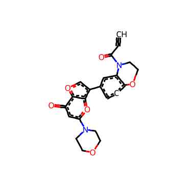 C#CC(=O)N1CCOc2ccc(-c3coc4c(=O)cc(N5CCOCC5)oc34)cc21